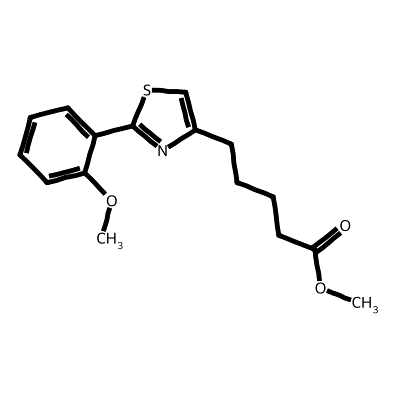 COC(=O)CCCCc1csc(-c2ccccc2OC)n1